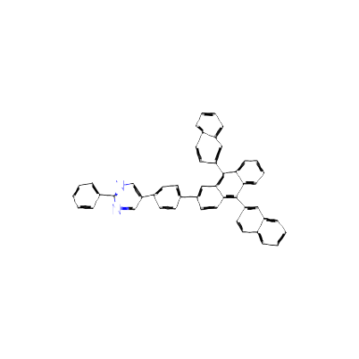 c1ccc(-c2ncc(-c3ccc(-c4ccc5c(-c6ccc7ccccc7c6)c6ccccc6c(-c6ccc7ccccc7c6)c5c4)cc3)cn2)cc1